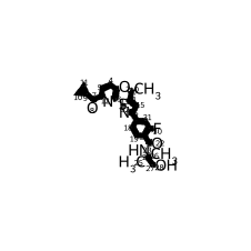 C[C@@H](Oc1ccc(C(=O)C2CC2)nc1)c1cc(-c2ccc(C(=O)NC(C)(C)CO)c(F)c2)ns1